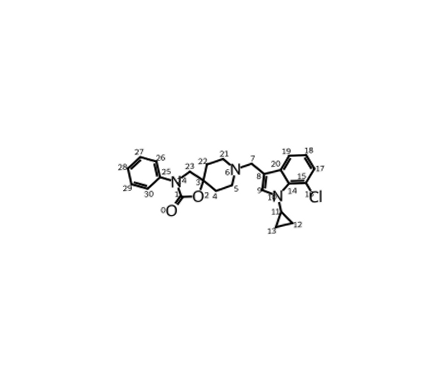 O=C1OC2(CCN(Cc3cn(C4CC4)c4c(Cl)cccc34)CC2)CN1c1ccccc1